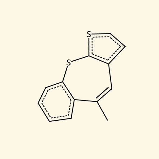 CC1=Cc2ccsc2Sc2ccccc21